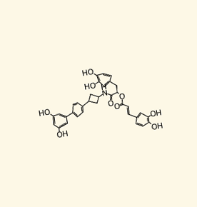 O=C(/C=C/c1ccc(O)c(O)c1)O[C@H](Cc1ccc(O)c(O)c1)C(=O)NC1CC(c2ccc(-c3cc(O)cc(O)c3)cc2)C1